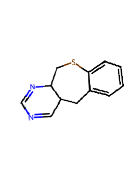 C1=NC=NC2CSc3ccccc3CC12